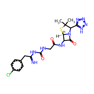 CC1(C)S[C@@H]2C(NC(=O)CNC(=O)NC(=N)Cc3ccc(Cl)cc3)C(=O)N2C1c1nnn[nH]1